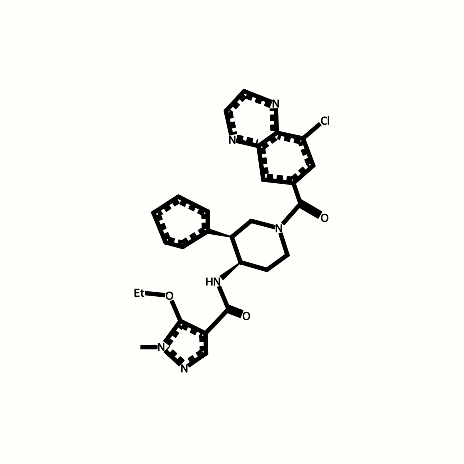 CCOc1c(C(=O)N[C@@H]2CCN(C(=O)c3cc(Cl)c4nccnc4c3)C[C@@H]2c2ccccc2)cnn1C